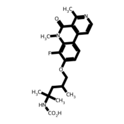 Cc1nccc2c1c(=O)n(C)c1c(F)c(OCC(C)CC(C)(C)NC(=O)O)ccc21